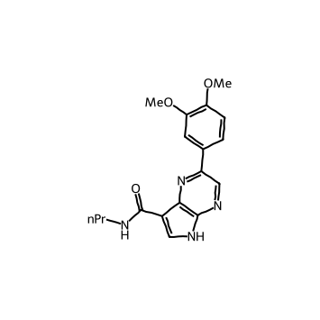 CCCNC(=O)c1c[nH]c2ncc(-c3ccc(OC)c(OC)c3)nc12